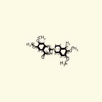 COc1cc2nc(N3CCc4c(cc(OC)c(OC)c4C)C3)[nH]c(=O)c2cc1OC